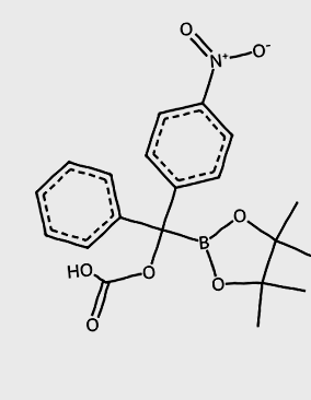 CC1(C)OB(C(OC(=O)O)(c2ccccc2)c2ccc([N+](=O)[O-])cc2)OC1(C)C